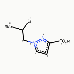 CCCCC(CC)Cn1ccc(C(=O)O)n1